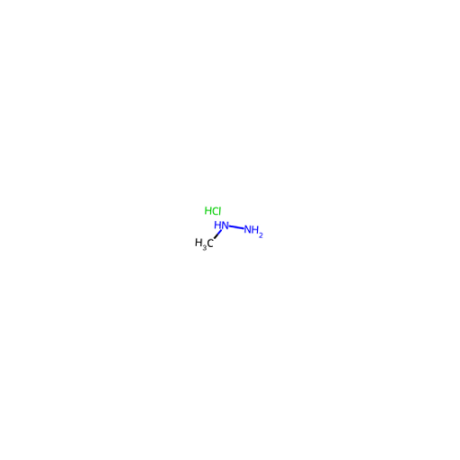 CNN.Cl